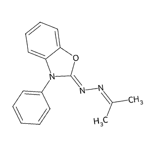 CC(C)=N/N=c1\oc2ccccc2n1-c1ccccc1